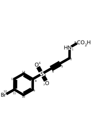 O=C(O)NCC#CS(=O)(=O)c1ccc(Br)cc1